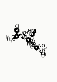 C[C@H]1CN(c2ccc(C(=O)NS(=O)(=O)c3ccc(NC[C@@H]4COCCO4)c([N+](=O)[O-])c3)c(Oc3cnc4[nH]ccc4c3)c2)CCN1CC1=C(c2ccc(Cl)cc2)CC(C)(C)CC1